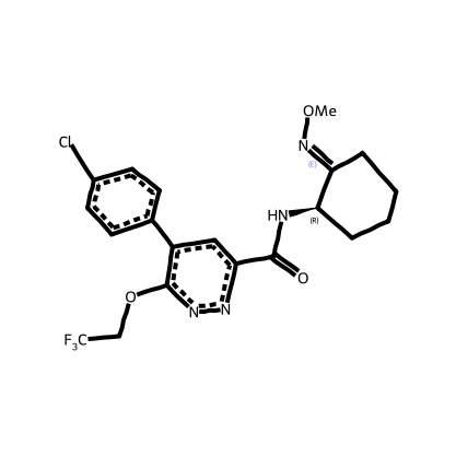 CO/N=C1\CCCC[C@H]1NC(=O)c1cc(-c2ccc(Cl)cc2)c(OCC(F)(F)F)nn1